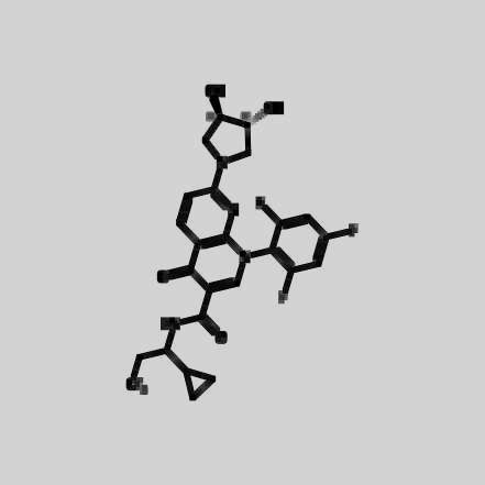 O=C(NC(CC(F)(F)F)C1CC1)c1cn(-c2c(F)cc(F)cc2F)c2nc(N3C[C@@H](O)[C@H](O)C3)ccc2c1=O